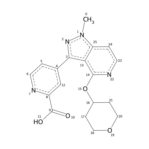 Cn1nc(-c2ccnc(C(=O)O)c2)c2c(OC3CCOCC3)nccc21